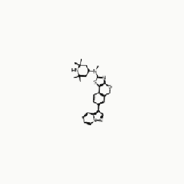 CN(c1nc2c(s1)-c1ccc(-c3cnn4ccccc34)cc1CO2)C1CC(C)(C)NC(C)(C)C1